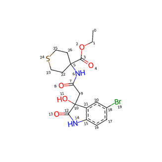 CCOC(=O)C1(NC(=O)CC2(O)C(=O)Nc3ccc(Br)cc32)CCSCC1